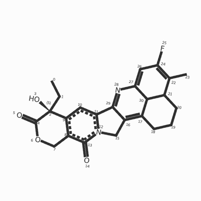 CC[C@@]1(O)C(=O)OCc2c1cc1n(c2=O)CC2=C3CCCC4C(C)=C(F)C=C(N=C21)C34